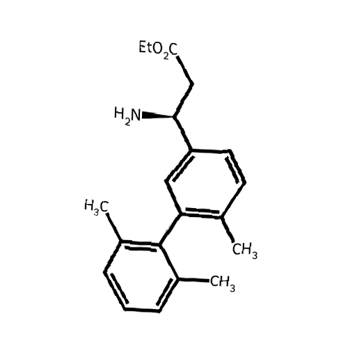 CCOC(=O)C[C@H](N)c1ccc(C)c(-c2c(C)cccc2C)c1